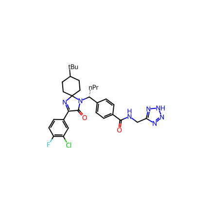 CCC[C@H](c1ccc(C(=O)NCc2nn[nH]n2)cc1)N1C(=O)C(c2ccc(F)c(Cl)c2)=NC12CCC(C(C)(C)C)CC2